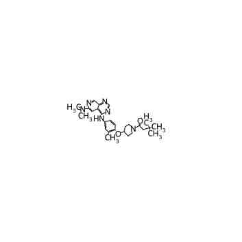 Cc1cc(Nc2ncnc3cnc(N(C)C)cc23)ccc1OC1CCN(C(=O)CC(C)(C)C)CC1